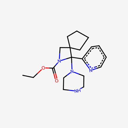 CCOC(=O)N1CC2(CCCC2)C1(c1ccccn1)N1CCNCC1